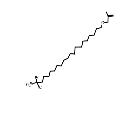 C=C(C)COCCCCCCCCCCCCCCCCCCCC([SiH3])(Br)Br